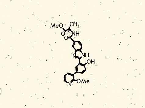 COC(=O)[C@@H](C)NC(=O)c1ccc2[nH]c(-c3cc(-c4cccnc4OC)ccc3O)nc2c1